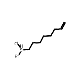 C=CCCCCCC[SiH](Cl)CC